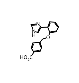 O=C(O)c1ccc(COc2ccccc2-c2c[nH]cn2)cc1